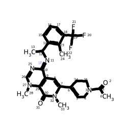 CC(=O)N1CC=C(c2cc3/c(=N/C(C)c4cccc(C(F)(F)F)c4C)ncn(C)c3c(=O)n2C)CC1